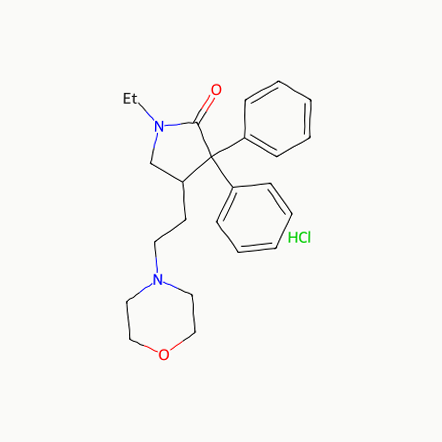 CCN1CC(CCN2CCOCC2)C(c2ccccc2)(c2ccccc2)C1=O.Cl